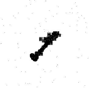 CC(C)[C@H](NC(=O)[C@@H](CCCCNC(=O)COC1CCCCC/C(N)=C\1N)NC(=O)CCOCCOCCOCCOCCNC(=O)CCC(=O)N1Cc2ccccc2C#Cc2ccccc21)C(N)=O